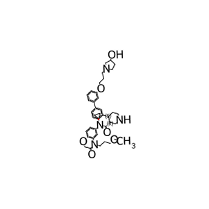 COCCCN1C(=O)COc2ccc(N(C(=O)[C@H]3CNCC[C@@H]3c3cccc(-c4cccc(OCCCN5CCC(O)C5)c4)c3)C3CC3)cc21